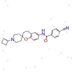 N#Cc1ccc(C(=O)Nc2ccc3c(c2)CCC2(CCN(C4CCC4)CC2)O3)cc1